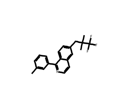 Cc1cccc(-c2nccc3cc(CC(C)(C)C(F)(F)F)ccc23)c1